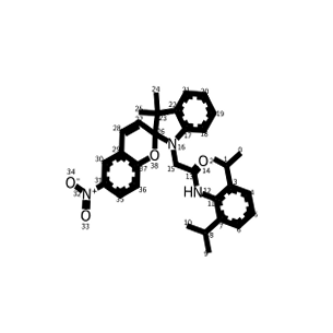 CC(C)c1cccc(C(C)C)c1NC(=O)CN1c2ccccc2C(C)(C)C12C=Cc1cc([N+](=O)[O-])ccc1O2